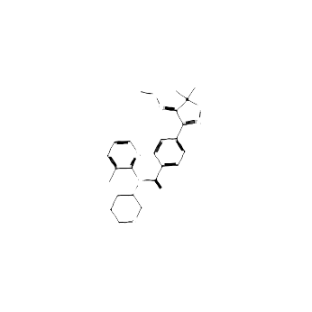 CO/N=C1/C(c2ccc(C(=O)N(c3ncccc3C)[C@@H]3CCCNC3)cc2)=NOC1(C)C